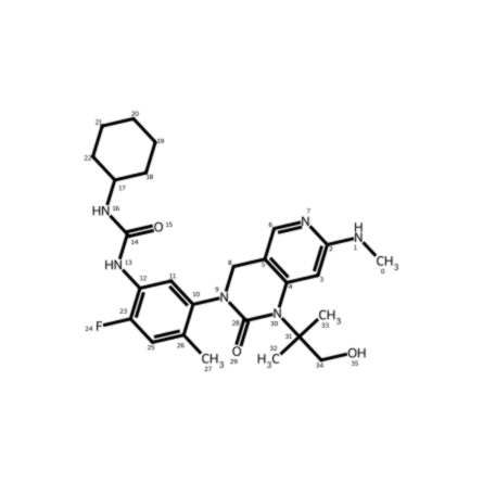 CNc1cc2c(cn1)CN(c1cc(NC(=O)NC3CCCCC3)c(F)cc1C)C(=O)N2C(C)(C)CO